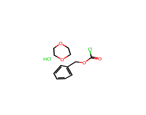 C1COCCO1.Cl.O=C(Cl)OCc1ccccc1